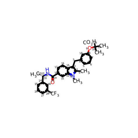 Cc1c(Cc2cccc(OC(C)(C)C(=O)O)c2)c2ccc(C(=O)N[C@@H](C)c3cccc(C(F)(F)F)c3)cc2n1C